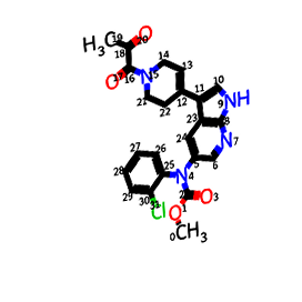 COC(=O)N(c1cnc2[nH]cc(C3=CCN(C(=O)C(C)=O)CC3)c2c1)c1ccccc1Cl